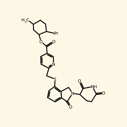 CC1CCC(C(C)C)C(OC(=O)c2ccc(CSc3cccc4c3CN(C3CCC(=O)NC3=O)C4=O)nc2)C1